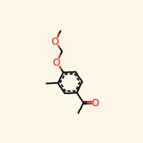 COCOc1ccc(C(C)=O)cc1C